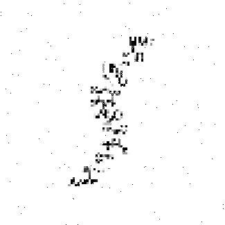 CNC(=O)CCNC(=O)Cc1ccc(N(C)C(=O)CC(=O)N(C)CCOCCCC(C)=O)cc1